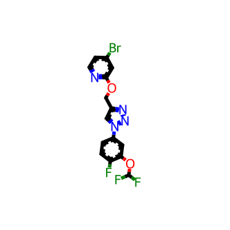 Fc1ccc(-n2cc(COc3cc(Br)ccn3)nn2)cc1OC(F)F